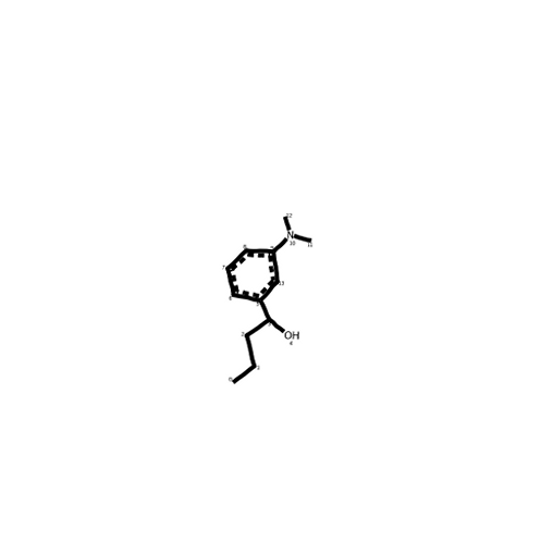 CCCC(O)c1cccc(N(C)C)c1